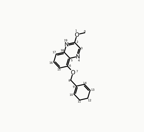 COc1cnc2c(OCC3=CCCC=C3)cccc2n1